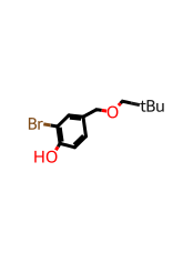 CC(C)(C)COCc1ccc(O)c(Br)c1